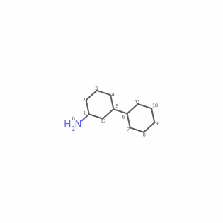 NC1CCCC(C2CCCCC2)C1